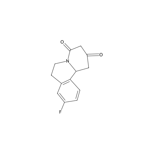 O=C1CC(=O)N2CCc3cc(F)ccc3C2C1